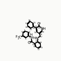 O=C(Nc1cccc(C(F)(F)F)c1)c1ccccc1NCc1c[nH]c(=O)c(-c2ccccc2)c1